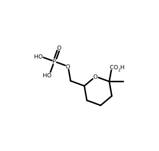 CC1(C(=O)O)CCCC(COP(=O)(O)O)O1